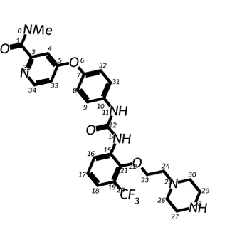 CNC(=O)c1cc(Oc2ccc(NC(=O)Nc3cccc(C(F)(F)F)c3OCCN3CCNCC3)cc2)ccn1